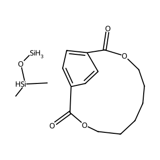 C[SiH](C)O[SiH3].O=C1OCCCCCCOC(=O)c2ccc1cc2